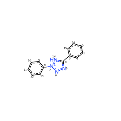 c1ccc(-c2nn[n+](-c3ccccc3)[nH]2)cc1